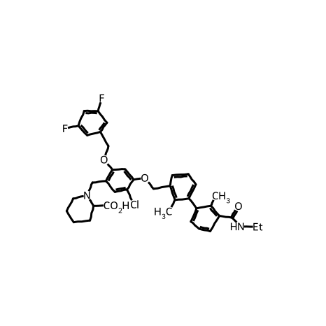 CCNC(=O)c1cccc(-c2cccc(COc3cc(OCc4cc(F)cc(F)c4)c(CN4CCCCC4C(=O)O)cc3Cl)c2C)c1C